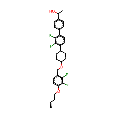 C=CCCOc1ccc(COC2CCC(c3ccc(-c4ccc(C(C)O)cc4)c(F)c3F)CC2)c(F)c1F